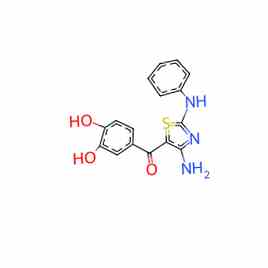 Nc1nc(Nc2ccccc2)sc1C(=O)c1ccc(O)c(O)c1